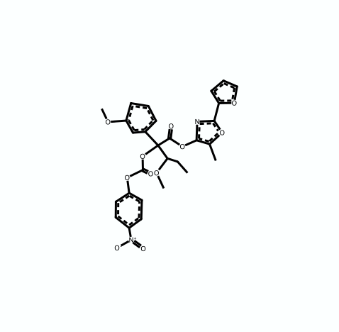 CCC(OC)C(OC(=O)Oc1ccc([N+](=O)[O-])cc1)(C(=O)Oc1nc(-c2ccco2)oc1C)c1cccc(OC)c1